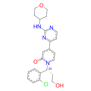 O=c1cc(-c2ccnc(NC3CCOCC3)n2)ccn1[C@H](CCO)c1ccccc1Cl